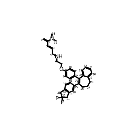 C=C(/C=C/CNCCOc1ccc(C2=C(c3ccc4c(c3)CC(F)(F)C4)CCCc3ccccc32)cc1)N(C)C